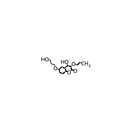 CC=COc1c(O)c2cc(OCCCO)ccc2oc1=O